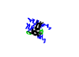 CC1(N)C=CC=C(N)C1.Nc1cc(Cl)c(N)cc1Cl